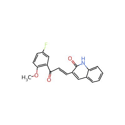 COc1ccc(F)cc1C(=O)C=Cc1cc2ccccc2[nH]c1=O